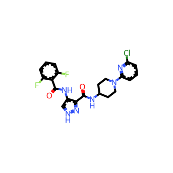 O=C(NC1CCN(c2cccc(Cl)n2)CC1)c1n[nH]cc1NC(=O)c1c(F)cccc1F